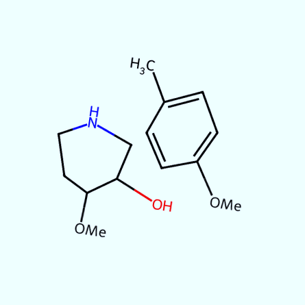 COC1CCNCC1O.COc1ccc(C)cc1